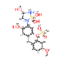 COc1ccc(Cc2ccc(N3CC(O)NS3(O)O)c(O)c2)c(OS(C)(=O)=O)c1